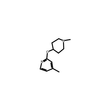 Cc1ccnc(OC2CCN(C)CC2)c1